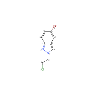 ClCCn1cc2cc(Br)ccc2n1